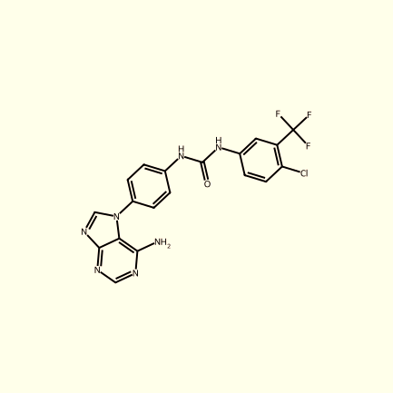 Nc1ncnc2ncn(-c3ccc(NC(=O)Nc4ccc(Cl)c(C(F)(F)F)c4)cc3)c12